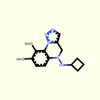 COc1ccc2c(c1OC)-n1nncc1CN2NC1CCC1